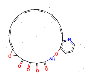 O=C1NOc2cccnc2C=CC=CC=CC=CC=CC=CC=C2OC2C(=O)C(=O)C1=O